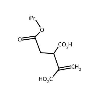 C=C(C(=O)O)C(CC(=O)OC(C)C)C(=O)O